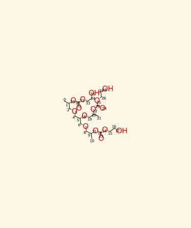 CC(COCC(COCC(C)OC(=O)OCCO)OCC(C)OC(=O)OCCO)OC(=O)OCCO